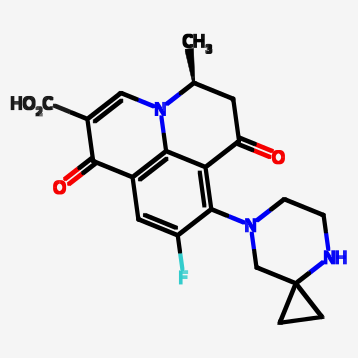 C[C@H]1CC(=O)c2c(N3CCNC4(CC4)C3)c(F)cc3c(=O)c(C(=O)O)cn1c23